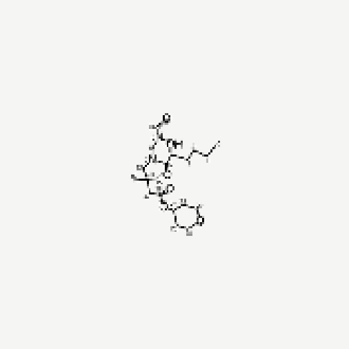 CCCCCC(=O)N(CN(O)C=O)CC(C)(C)CC(=O)OC1CCOCC1